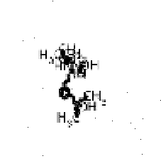 CCCC(O)(CCC)CCc1cccc(CCCN/C(=N\C(=O)O)NC(=O)OC(C)(C)C)c1